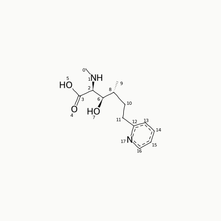 CN[C@H](C(=O)O)[C@H](O)[C@H](C)CCc1ccccn1